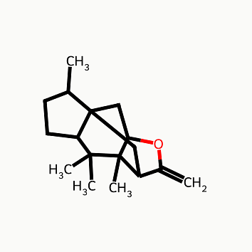 C=C1OC2CC34CC1C2(C)C(C)(C)C3CCC4C